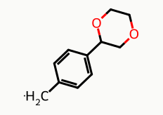 [CH2]c1ccc(C2COCCO2)cc1